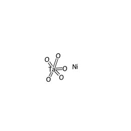 [Ni].[O]=[Ta](=[O])(=[O])(=[O])=[O]